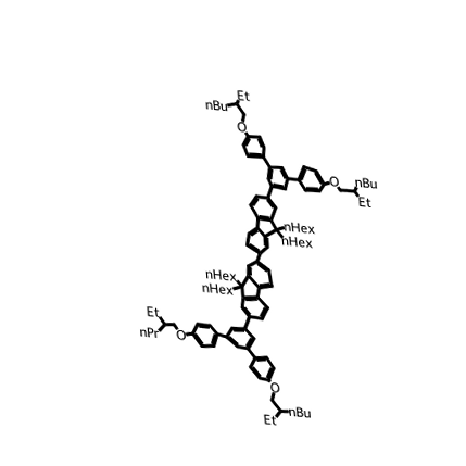 CCCCCCC1(CCCCCC)c2cc(-c3cc(-c4ccc(OCC(CC)CCC)cc4)cc(-c4ccc(OCC(CC)CCCC)cc4)c3)ccc2-c2ccc(-c3ccc4c(c3)C(CCCCCC)(CCCCCC)c3cc(-c5cc(-c6ccc(OCC(CC)CCCC)cc6)cc(-c6ccc(OCC(CC)CCCC)cc6)c5)ccc3-4)cc21